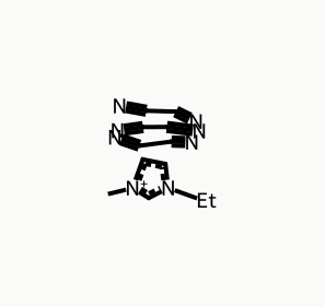 CCn1cc[n+](C)c1.N#CC#N.N#CC#N.N#CC#N